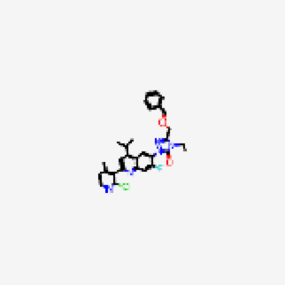 CCn1c(COCc2ccccc2)nn(-c2cc3c(C(C)C)cc(-c4c(C)ccnc4Cl)nc3cc2F)c1=O